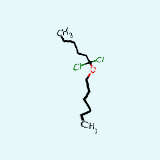 CCCCCCOC(Cl)(Cl)CCCCC